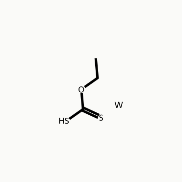 CCOC(=S)S.[W]